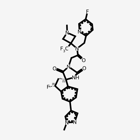 CN1CC(N(Cc2ccc(F)cn2)C(=O)CN2C(=O)N[C@]3(C[C@@H](F)c4cc(-c5cnn(C)c5)ccc43)C2=O)(C(F)(F)F)C1